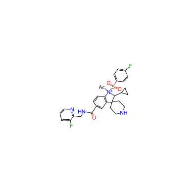 CC(=O)[N+]1(S(=O)(=O)c2ccc(F)cc2)c2ccc(C(=O)NCc3ncccc3F)cc2C2(CCNCC2)C1C1CC1